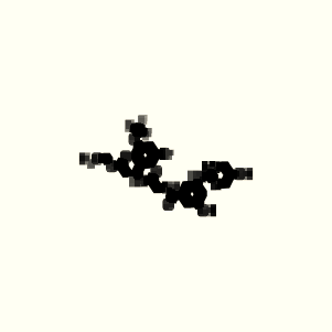 CCOC(=O)C[C@H](NC(=O)CNC(=O)c1cc(O)cc(NC2=NCC(O)CN2)c1)c1cc(Br)cc(OC(F)(F)F)c1